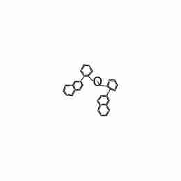 c1ccc(-c2ccc3ccccc3c2)c(COCc2ccccc2-c2ccc3ccccc3c2)c1